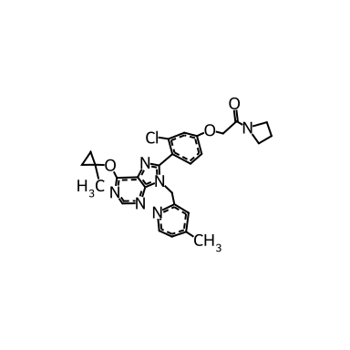 Cc1ccnc(Cn2c(-c3ccc(OCC(=O)N4CCC4)cc3Cl)nc3c(OC4(C)CC4)ncnc32)c1